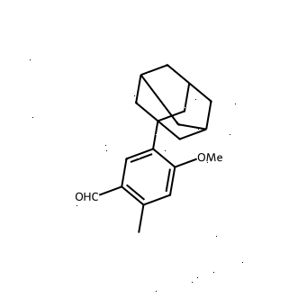 COc1cc(C)c(C=O)cc1C12CC3CC(CC(C3)C1)C2